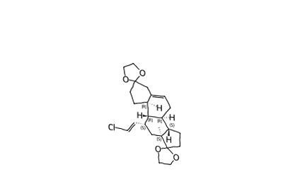 C[C@]12C[C@H](C=CCl)[C@H]3[C@@H](CC=C4CC5(CC[C@@H]43)OCCO5)[C@@H]1CCC21OCCO1